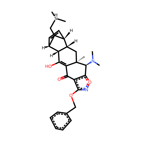 CN(C)[C@H]1c2onc(OCc3ccccc3)c2C(=O)C2=C(O)[C@H]3[C@@H](C[C@]21C)[C@H]1C=C[C@@H]3C1C[SiH](C)C